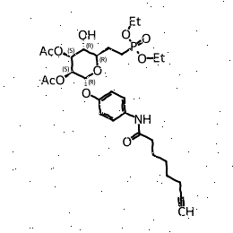 C#CCCCCCC(=O)Nc1ccc(O[C@H]2O[C@H](CCP(=O)(OCC)OCC)[C@@H](O)[C@H](OC(C)=O)[C@@H]2OC(C)=O)cc1